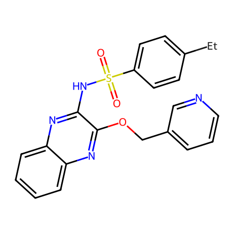 CCc1ccc(S(=O)(=O)Nc2nc3ccccc3nc2OCc2cccnc2)cc1